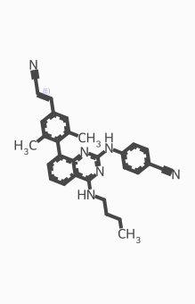 CCCCNc1nc(Nc2ccc(C#N)cc2)nc2c(-c3c(C)cc(/C=C/C#N)cc3C)cccc12